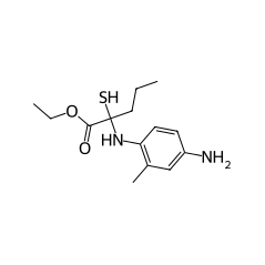 CCCC(S)(Nc1ccc(N)cc1C)C(=O)OCC